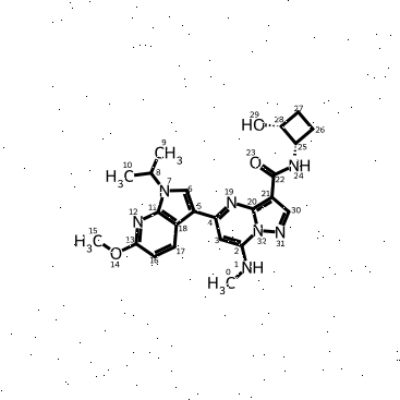 CNc1cc(-c2cn(C(C)C)c3nc(OC)ccc23)nc2c(C(=O)N[C@H]3CC[C@H]3O)cnn12